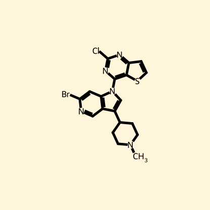 CN1CCC(c2cn(-c3nc(Cl)nc4ccsc34)c3cc(Br)ncc23)CC1